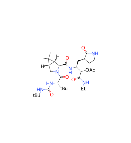 CCNC(=O)C(OC(C)=O)[C@H](C[C@@H]1CCNC1=O)NC(=O)[C@@H]1[C@@H]2[C@H](CN1C(=O)[C@@H](NC(=O)NC(C)(C)C)C(C)(C)C)C2(C)C